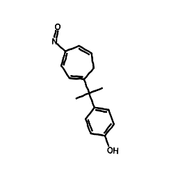 CC(C)(C1=CC=C(N=O)C=CC1)c1ccc(O)cc1